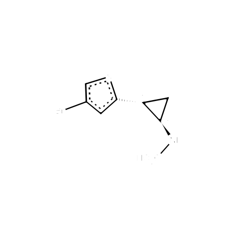 O=C(O)N[C@@H]1C[C@H]1c1cc(Br)cs1